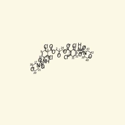 O=C(COC(=O)c1c(Cl)ccc(NS(=O)(=O)N2CCOCC2)c1Cl)COC(=O)c1c(Cl)ccc(NS(=O)(=O)N2CCOCC2)c1Cl